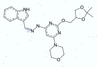 CC1(C)OCC(COc2nc([N]/N=C\c3c[nH]c4ccccc34)cc(N3CCOCC3)n2)O1